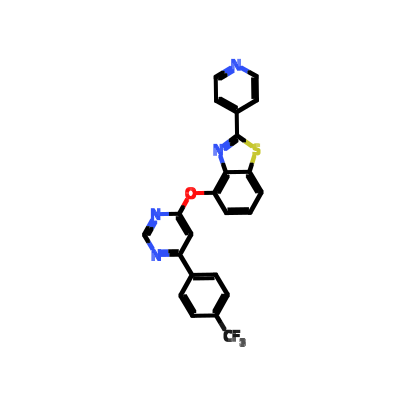 FC(F)(F)c1ccc(-c2cc(Oc3cccc4sc(-c5ccncc5)nc34)ncn2)cc1